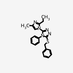 CCc1nc(C)cn1-c1nnc(SCc2ccccc2)n1-c1ccccc1